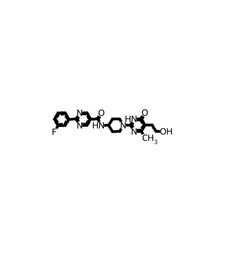 Cc1nc(N2CCC(NC(=O)c3cnc(-c4cccc(F)c4)nc3)CC2)[nH]c(=O)c1CCO